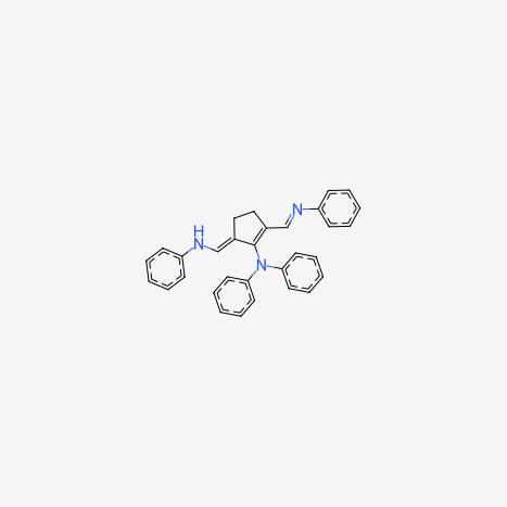 C(=N\c1ccccc1)/C1=C(N(c2ccccc2)c2ccccc2)C(=C/Nc2ccccc2)/CC1